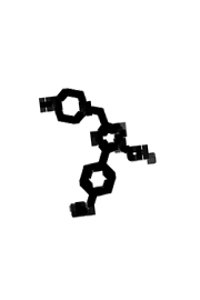 Cn1nc(CN2CCNCC2)nc1-c1ccc(C(C)(C)C)cc1